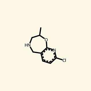 CC1CNCc2ccc(Cl)nc2O1